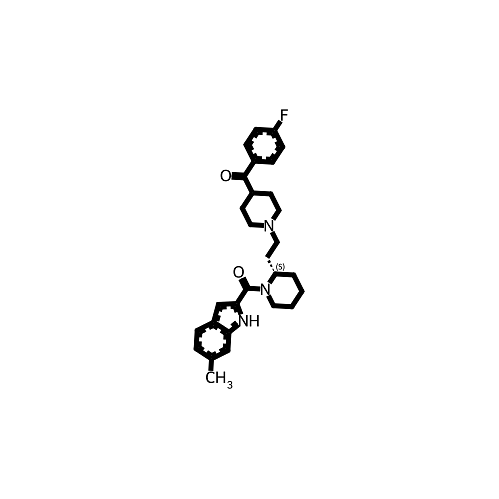 Cc1ccc2cc(C(=O)N3CCCC[C@H]3CCN3CCC(C(=O)c4ccc(F)cc4)CC3)[nH]c2c1